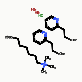 Br.Br.CCCCCCCCCCCCCCCC[N+](C)(C)C.CCCCCCCCCCCCc1ccccn1.CCCCCCCCCCCCc1ccccn1.Cl